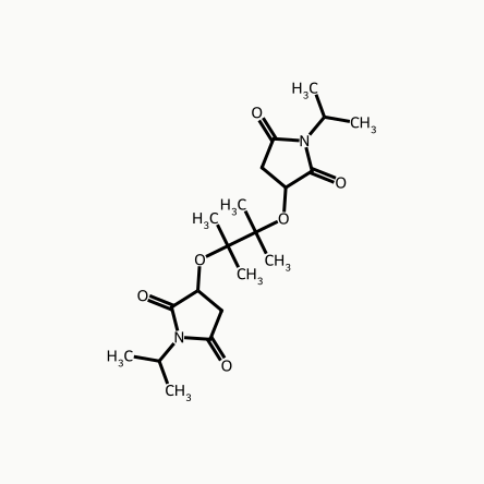 CC(C)N1C(=O)CC(OC(C)(C)C(C)(C)OC2CC(=O)N(C(C)C)C2=O)C1=O